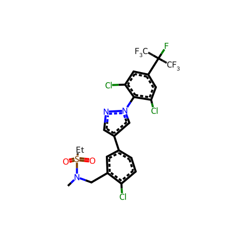 CCS(=O)(=O)N(C)Cc1cc(-c2cnn(-c3c(Cl)cc(C(F)(C(F)(F)F)C(F)(F)F)cc3Cl)c2)ccc1Cl